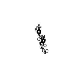 CC(=O)OC[C@@H](C)n1ccc2c(C(=O)NCc3ccc(C(F)(F)F)c(F)c3)c(C)ccc2c1=O